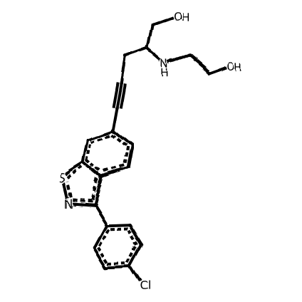 OCCNC(CO)CC#Cc1ccc2c(-c3ccc(Cl)cc3)nsc2c1